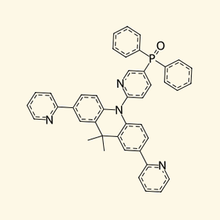 CC1(C)c2cc(-c3ccccn3)ccc2N(c2ccc(P(=O)(c3ccccc3)c3ccccc3)cn2)c2ccc(-c3ccccn3)cc21